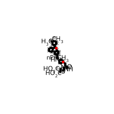 CCC[C@](C)(Nc1ccc(/C=C2\N=C(SC(CC(=O)O)C(=O)O)NC2=O)cc1)c1ccc(/C=C(\c2ccccc2)c2ccc(C)c(C)c2)cc1